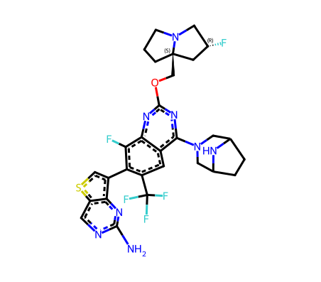 Nc1ncc2scc(-c3c(C(F)(F)F)cc4c(N5CC6CCC(C5)N6)nc(OC[C@@]56CCCN5C[C@H](F)C6)nc4c3F)c2n1